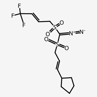 [N-]=[N+]=C(S(=O)(=O)CC=CC1CCCC1)S(=O)(=O)CC=CC(F)(F)F